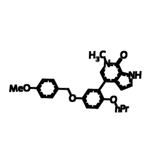 CCCOc1ccc(OCc2ccc(OC)cc2)cc1-c1cn(C)c(=O)c2[nH]ccc12